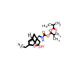 CCC1=C[C@@H]2[C@H](C1)C[C@]2(CNC(=O)O[C@@H](OC(=O)C(C)C)C(C)C)CC(=O)O